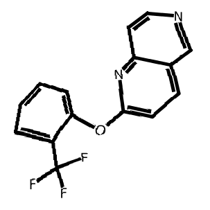 FC(F)(F)c1ccccc1Oc1ccc2cnccc2n1